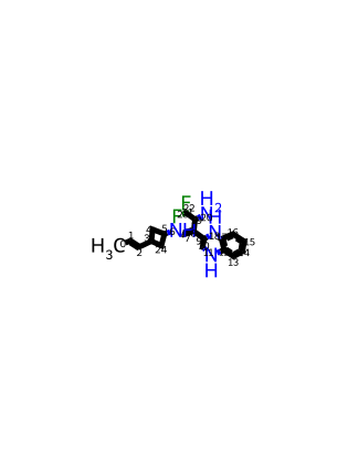 C/C=C/C1CC(N/C=C(/C2CNc3ccccc3N2)C(N)C(F)F)C1